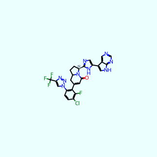 O=C1C=C(c2c(-n3cc(C(F)(F)F)nn3)ccc(Cl)c2F)CC2CC[C@@H](c3ncc(-c4c[nH]c5ncncc45)[nH]3)N12